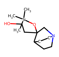 C[Si](C)(C)OC1(CCO)CN2CCC1CC2